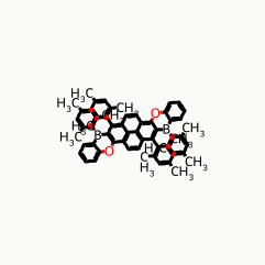 Cc1cc(C)c(B2c3ccccc3Oc3c2c(-c2c(C)cc(C)cc2C)c2ccc4c5c(c(-c6c(C)cc(C)cc6C)c6ccc3c2c46)B(c2c(C)cc(C)cc2C)c2ccccc2O5)c(C)c1